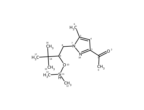 CC(=O)c1cc(C)n(CC(O[SiH](C)C)C(C)(C)C)n1